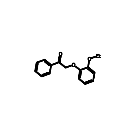 CCOc1ccccc1OCC(=O)c1ccccc1